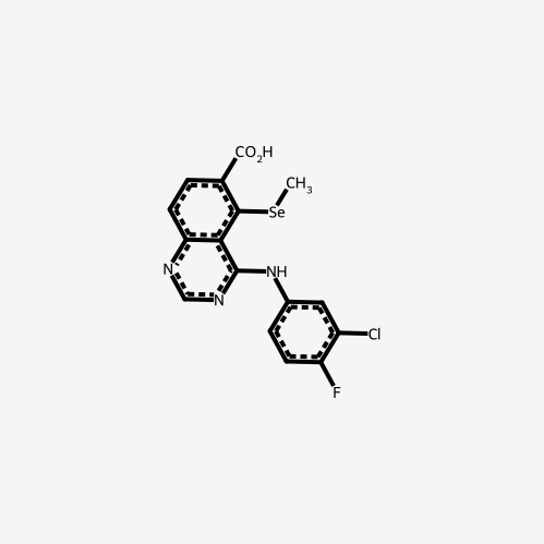 C[Se]c1c(C(=O)O)ccc2ncnc(Nc3ccc(F)c(Cl)c3)c12